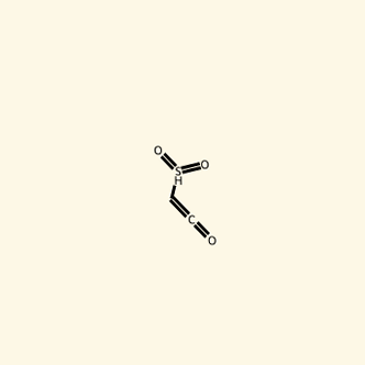 O=C=C[SH](=O)=O